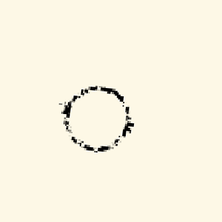 CC1CCCC/C=C\C/C=C\CCCCCCCC(C)C(C)(O)CCCCCCC/C=C\C/C=C\CCCCC1C